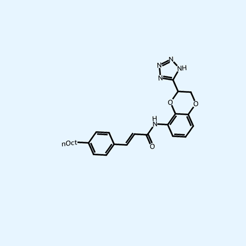 CCCCCCCCc1ccc(C=CC(=O)Nc2cccc3c2OC(c2nnn[nH]2)CO3)cc1